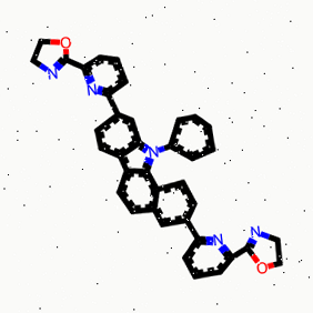 c1ccc(-n2c3cc(-c4cccc(C5=NCCO5)n4)ccc3c3ccc4cc(-c5cccc(C6=NCCO6)n5)ccc4c32)cc1